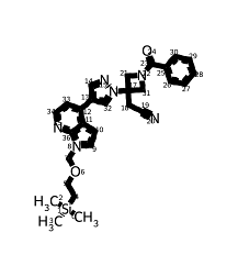 C[Si](C)(C)CCOCn1ccc2c(-c3cnn(C4(CC#N)CN(C(=O)c5ccccc5)C4)c3)ccnc21